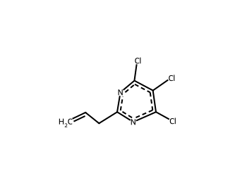 C=CCc1nc(Cl)c(Cl)c(Cl)n1